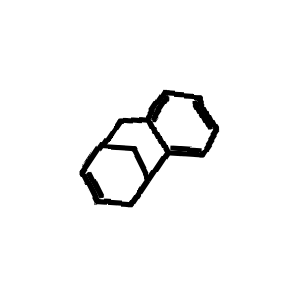 C1=CC2Cc3ccccc3C(C1)C2